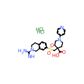 Cl.Cl.N=C(N)N1CCc2ccc(S(=O)(=O)CC3(C(=O)O)CCN(c4ccncc4)CC3)cc2C1